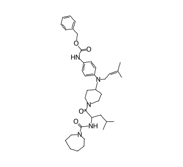 CC(C)=CCN(c1ccc(NC(=O)OCc2ccccc2)cc1)C1CCN(C(=O)C(CC(C)C)NC(=O)N2CCCCCC2)CC1